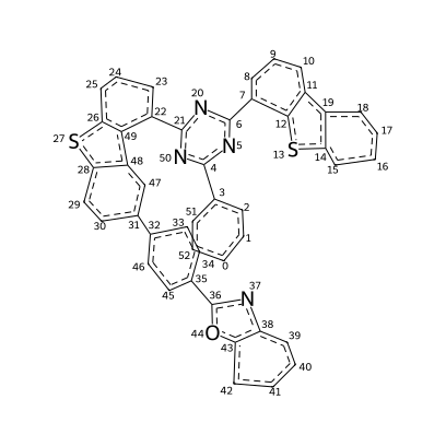 c1ccc(-c2nc(-c3cccc4c3sc3ccccc34)nc(-c3cccc4sc5ccc(-c6ccc(-c7nc8ccccc8o7)cc6)cc5c34)n2)cc1